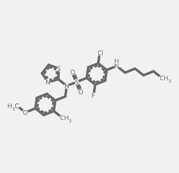 CCCCCNc1cc(F)c(S(=O)(=O)N(Cc2ccc(OC)cc2C)c2nccs2)cc1Cl